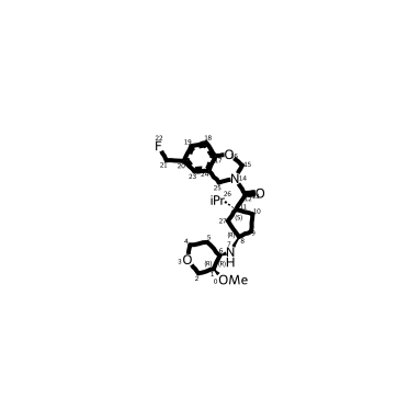 CO[C@H]1COCC[C@H]1N[C@@H]1CC[C@@](C(=O)N2COc3ccc(CF)cc3C2)(C(C)C)C1